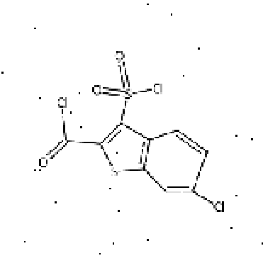 O=C(Cl)c1sc2cc(Cl)ccc2c1S(=O)(=O)Cl